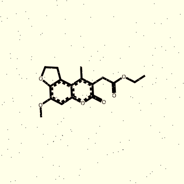 CCOC(=O)Cc1c(C)c2c3c(c(OC)cc2oc1=O)OCC3